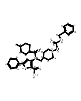 CC1CCC(C(=O)N(CC2CCN(OC(=O)OCc3ccccc3)CC2)c2cc(-c3ccccc3)sc2C(=O)O)CC1